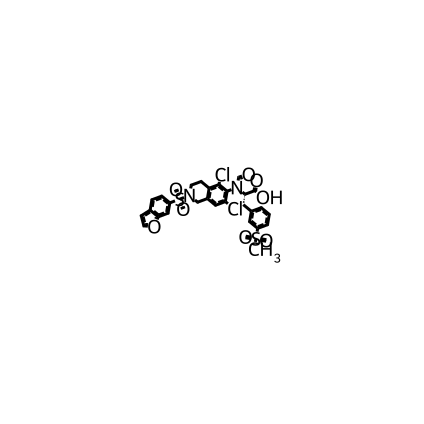 CS(=O)(=O)c1cccc(C[C@@H](C(=O)O)N(C=O)c2c(Cl)cc3c(c2Cl)CCN(S(=O)(=O)c2ccc4ccoc4c2)C3)c1